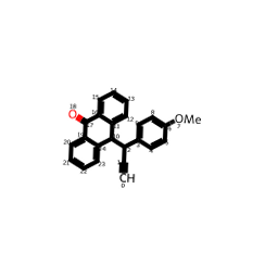 C#CC(c1ccc(OC)cc1)C1c2ccccc2C(=O)c2ccccc21